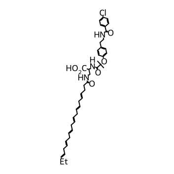 CCC=CCC=CCC=CCC=CCC=CCC=CCCC(=O)NCC(NC(=O)C(C)(C)Oc1ccc(CCNC(=O)c2ccc(Cl)cc2)cc1)C(=O)O